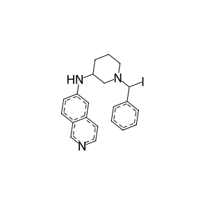 IC(c1ccccc1)N1CCCC(Nc2ccc3cnccc3c2)C1